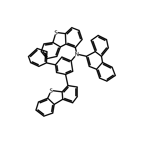 c1ccc(-c2cc(-c3cccc4c3sc3ccccc34)cc(N(c3cc4ccccc4c4ccccc34)c3cccc4sc5ccccc5c34)c2)cc1